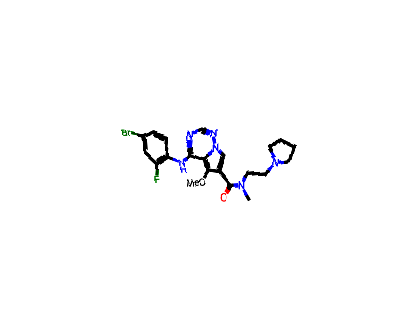 COc1c(C(=O)N(C)CCN2CCCC2)cn2ncnc(Nc3ccc(Br)cc3F)c12